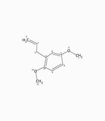 C=CCc1cc(OC)ccc1OC